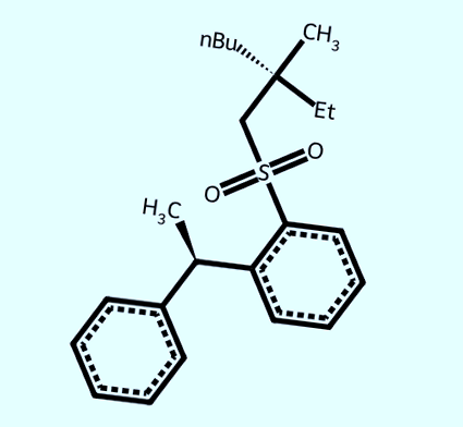 CCCC[C@](C)(CC)CS(=O)(=O)c1ccccc1[C@H](C)c1ccccc1